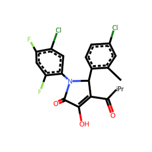 Cc1cc(Cl)ccc1C1C(C(=O)C(C)C)=C(O)C(=O)N1c1cc(Cl)c(F)cc1F